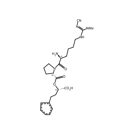 CNC(=NC#N)NCCCC[C@H](N)C(=O)N1CCC[C@H]1C(=O)O[C@@H](CCc1ccccc1)C(=O)O